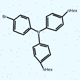 CCCCCCc1ccc(N(c2ccc(Br)cc2)c2ccc(CCCCCC)cc2)cc1